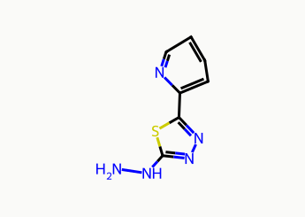 NNc1nnc(-c2ccccn2)s1